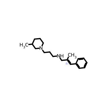 C/C(=C\c1ccccc1)CNCCCN1CCCC(C)C1